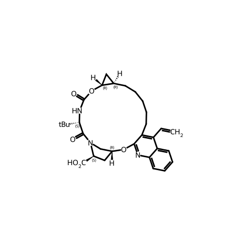 C=Cc1c2c(nc3ccccc13)O[C@@H]1C[C@@H](C(=O)O)N(C1)C(=O)[C@H](C(C)(C)C)NC(=O)O[C@@H]1C[C@H]1CCCCC2